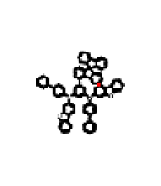 c1ccc(-c2ccc(N(c3cc(-c4cccc5c4-c4ccccc4C54c5ccccc5-c5ccccc54)cc(N(c4ccc(-c5ccccc5)cc4)c4ccc5c(c4)oc4ccccc45)c3)c3ccc4c(c3)oc3ccccc34)cc2)cc1